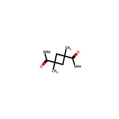 CNC(=O)C1(C)CC(C)(C(=O)NC)C1